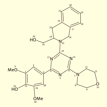 COc1cc(-c2nc(N3CCOCC3)nc(N3Cc4ccccc4CC3CO)n2)cc(OC)c1O